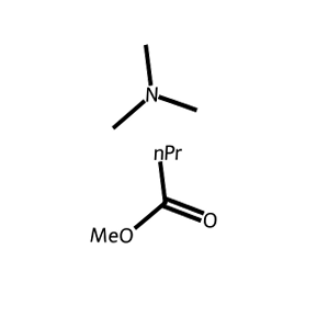 CCCC(=O)OC.CN(C)C